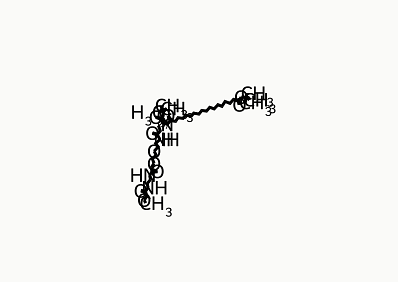 COCC(=O)NCCNC(=O)COCCOCCNC(=O)CC[C@H](NC(=O)CCCCCCCCCCCCCCCCC(=O)OC(C)(C)C)C(=O)OC(C)(C)C